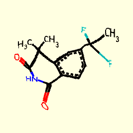 CC(F)(F)c1ccc2c(c1)C(C)(C)C(=O)NC2=O